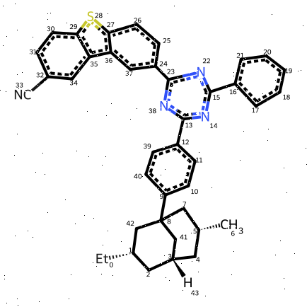 CC[C@H]1C[C@H]2C[C@@H](C)CC(c3ccc(-c4nc(-c5ccccc5)nc(-c5ccc6sc7ccc(C#N)cc7c6c5)n4)cc3)(C2)C1